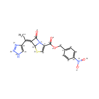 CC(=C1C(=O)N2C(C(=O)OCc3ccc([N+](=O)[O-])cc3)=CSC12)c1c[nH]nn1